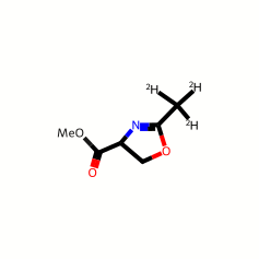 [2H]C([2H])([2H])C1=NC(C(=O)OC)CO1